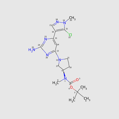 CN(C(=O)OC(C)(C)C)[C@@H]1CCN(c2cc(-c3cnn(C)c3Cl)nc(N)n2)C1